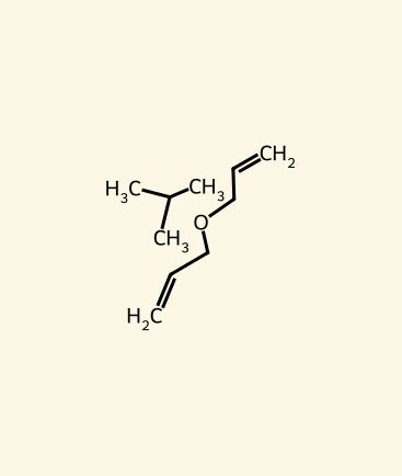 C=CCOCC=C.CC(C)C